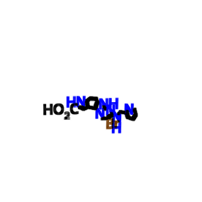 O=C(O)c1cc2cc(Nc3ncc(Br)c(NCc4ccccn4)n3)ccc2[nH]1